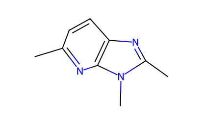 Cc1ccc2nc(C)n(C)c2n1